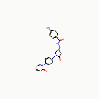 Nc1ccc(C(=O)NCC2CC(=O)N(c3ccc(-n4ccccc4=O)cc3)C2)cc1